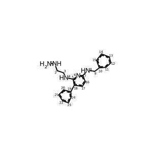 NNCCNc1nc(NCc2ccccc2)ccc1-c1ccccc1